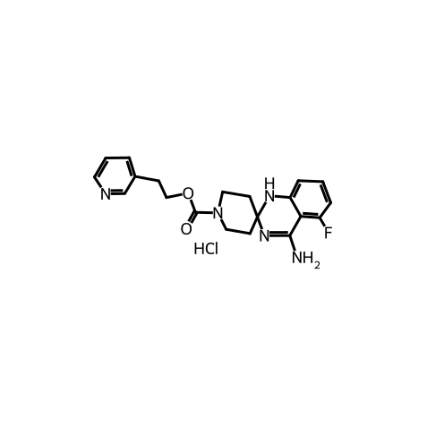 Cl.NC1=NC2(CCN(C(=O)OCCc3cccnc3)CC2)Nc2cccc(F)c21